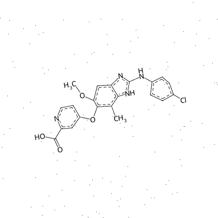 COc1cc2nc(Nc3ccc(Cl)cc3)[nH]c2c(C)c1Oc1ccnc(C(=O)O)c1